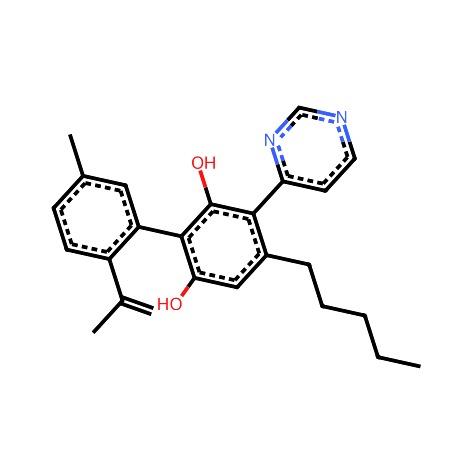 C=C(C)c1ccc(C)cc1-c1c(O)cc(CCCCC)c(-c2ccncn2)c1O